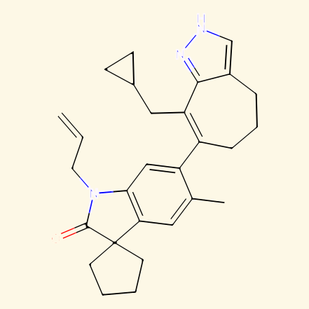 C=CCN1C(=O)C2(CCCC2)c2cc(C)c(C3=C(CC4CC4)c4n[nH]cc4CCC3)cc21